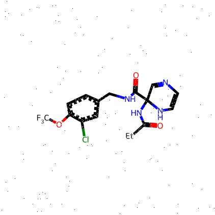 CCC(=O)NC1(C(=O)NCc2ccc(OC(F)(F)F)c(Cl)c2)C=NC=CN1